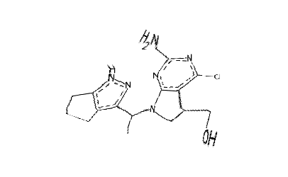 CC(c1n[nH]c2c1CCC2)N1CC(CO)c2c(Cl)nc(N)nc21